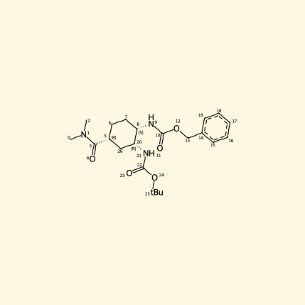 CN(C)C(=O)[C@@H]1CC[C@H](NC(=O)OCc2ccccc2)[C@H](NC(=O)OC(C)(C)C)C1